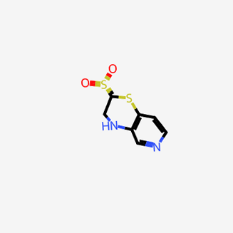 O=S(=O)=C1CNc2cnccc2S1